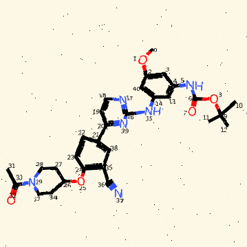 COc1cc(NC(=O)OC(C)(C)C)cc(Nc2nccc(-c3ccc(OC4CCN(C(C)=O)CC4)c(C#N)c3)n2)c1